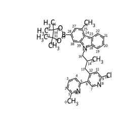 Cc1cccc(-c2cnc(Cl)cc2CC(C)Cn2c3ccccc3c3c(C)cc(B4OC(C)(C)C(C)(C)O4)cc32)n1